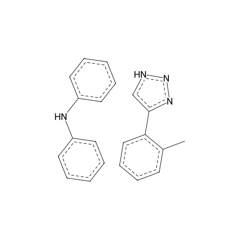 Cc1ccccc1-c1c[nH]nn1.c1ccc(Nc2ccccc2)cc1